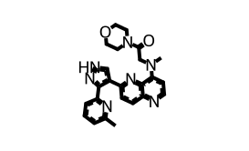 Cc1cccc(-c2n[nH]cc2-c2ccc3nccc(N(C)CC(=O)N4CCOCC4)c3n2)n1